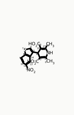 CC1=C(C(=O)O)C(c2csc3ccc([N+](=O)[O-])cc23)C(C(=O)O)=C(C)N1